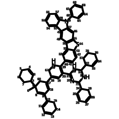 CC1(C2C=CCCC2)C=C(C2=CC=CCC2)C=C(C2=CC(C3=NC(C4C=CC=CC4)NC(C4C=CCCC4)N3)=C(c3ccc4sc5cc6c(cc5c4c3)c3ccccc3n6-c3ccccc3)NC2)C1